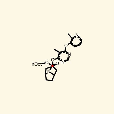 CCCCCCCCOC(=O)N1C2CCC1CC(Oc1ncnc(Oc3cccnc3C)c1C)C2